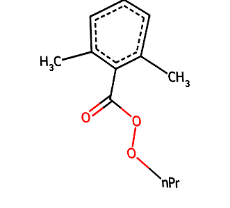 [CH2]CCOOC(=O)c1c(C)cccc1C